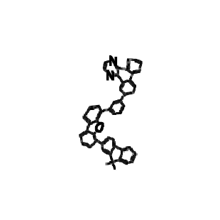 CC1(C)c2ccccc2-c2ccc(-c3cccc4c3oc3c(-c5cccc(-c6ccc7c8ccccc8c8nccnc8c7c6)c5)cccc34)cc21